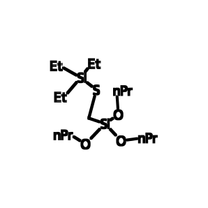 CCCO[Si](CS[Si](CC)(CC)CC)(OCCC)OCCC